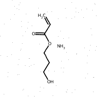 C=CC(=O)OCCCO.N